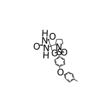 Cc1ccc(Oc2ccc(S(=O)(=O)N3CCCC3C3(C)NC(=O)NC3=O)cc2)cc1